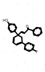 O=C(/C=C/C1(c2ccc(O)cc2)C=CC=C(c2ccc(F)cc2)C1)c1ccccc1